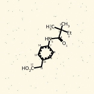 CCC(C)(C)C(=O)Nc1ccc(CC(=O)O)cc1